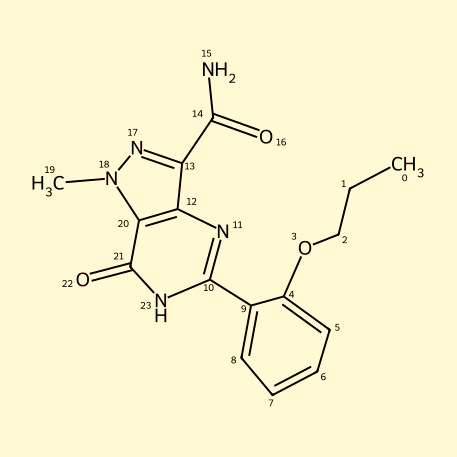 CCCOc1ccccc1-c1nc2c(C(N)=O)nn(C)c2c(=O)[nH]1